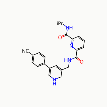 CC(C)NC(=O)c1cccc(C(=O)NCC2=CC(c3ccc(C#N)cc3)=CNC2)n1